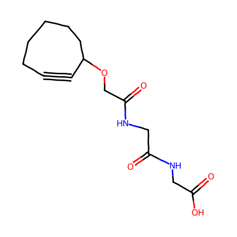 O=C(O)CNC(=O)CNC(=O)COC1C#CCCCCC1